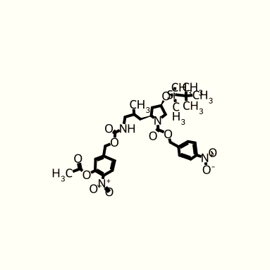 CC(=O)Oc1cc(COC(=O)NCC(C)C[C@H]2C[C@@H](O[Si](C)(C)C(C)(C)C)CN2C(=O)OCc2ccc([N+](=O)[O-])cc2)ccc1[N+](=O)[O-]